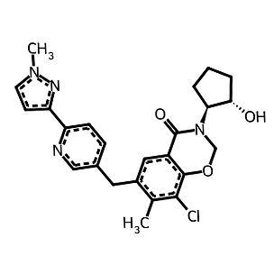 Cc1c(Cc2ccc(-c3ccn(C)n3)nc2)cc2c(c1Cl)OCN([C@H]1CCC[C@@H]1O)C2=O